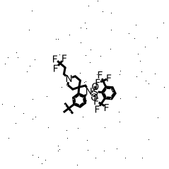 CC(C)(C)c1ccc2c(c1)C1(CCN(CCC(F)(F)F)CC1)CN2S(=O)(=O)c1c(C(F)(F)F)cccc1C(F)(F)F